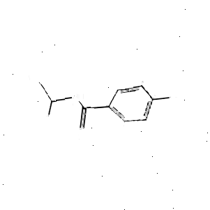 CCC(CC)NC(=O)c1ccc(O)cc1